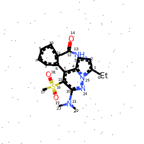 CCc1ccc2c(-c3ccccc3C(N)=O)c(S(C)(=O)=O)c(N(C)C)nn12